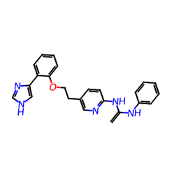 C=C(Nc1ccccc1)Nc1ccc(CCOc2ccccc2-c2c[nH]cn2)cn1